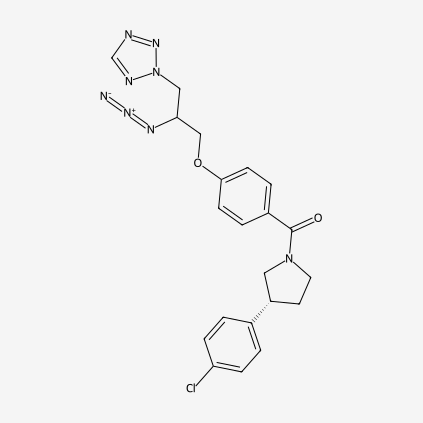 [N-]=[N+]=NC(COc1ccc(C(=O)N2CC[C@H](c3ccc(Cl)cc3)C2)cc1)Cn1ncnn1